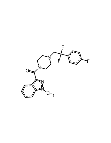 Cn1nc(C(=O)N2CCN(CC(F)(F)c3ccc(F)cc3)CC2)c2ccccc21